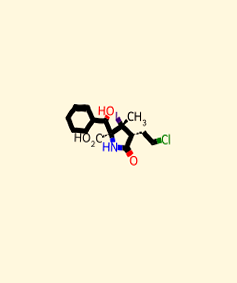 C[C@@]1(I)[C@H](CCCl)C(=O)N[C@@]1(C(=O)O)C(O)C1C=CCCC1